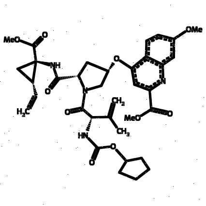 C=C[C@@H]1C[C@]1(NC(=O)[C@@H]1C[C@H](Oc2cc(C(=O)OC)nc3cc(OC)ccc23)CN1C(=O)[C@@H](NC(=O)OC1CCCC1)C(=C)C)C(=O)OC